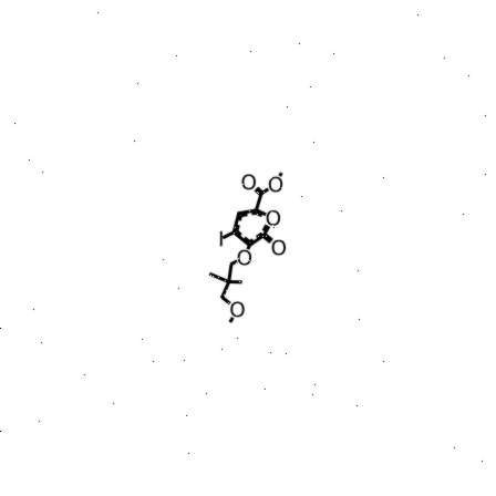 COCC(C)(C)COc1c(I)cc(C(=O)OC)oc1=O